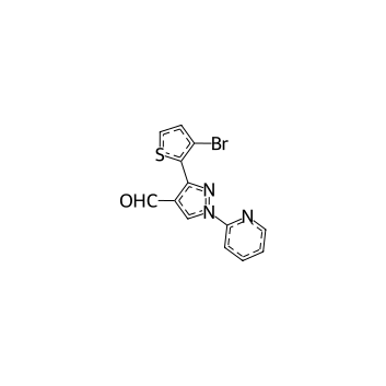 O=Cc1cn(-c2ccccn2)nc1-c1sccc1Br